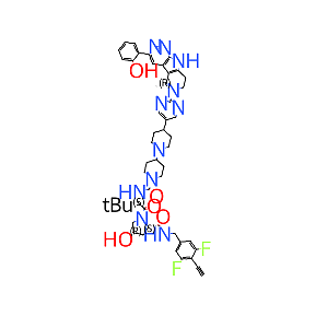 C#Cc1c(F)cc(CNC(=O)[C@@H]2C[C@@H](O)CN2C(=O)[C@@H](NC(=O)N2CCC(N3CCC(c4cnc(N5CCc6[nH]c7nnc(-c8ccccc8O)cc7c6[C@H]5C)nc4)CC3)CC2)C(C)(C)C)cc1F